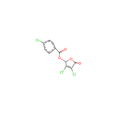 O=C1OC(OC(=O)c2ccc(Cl)cc2)C(Cl)=C1Cl